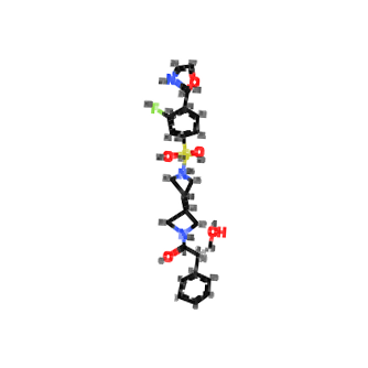 O=C([C@H](CO)c1ccccc1)N1CC(=C2CN(S(=O)(=O)c3ccc(-c4ncco4)c(F)c3)C2)C1